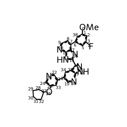 COc1cc(F)cc(-c2ccnc3[nH]c(-c4n[nH]c5ncc(-c6cncc(OC7CCCCC7)c6)cc45)nc23)c1